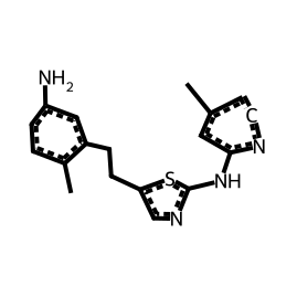 Cc1ccnc(Nc2ncc(CCc3cc(N)ccc3C)s2)c1